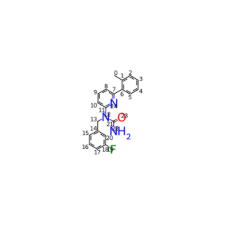 Cc1ccccc1-c1cccc(N(Cc2cccc(F)c2)C(N)=O)n1